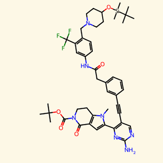 Cn1c(-c2nc(N)ncc2C#Cc2cccc(CC(=O)Nc3ccc(CN4CCC(O[Si](C)(C)C(C)(C)C)CC4)c(C(F)(F)F)c3)c2)cc2c1CCN(C(=O)OC(C)(C)C)C2=O